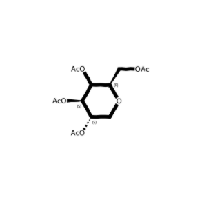 CC(=O)OC[C@H]1OC[C@H](OC(C)=O)[C@@H](OC(C)=O)[C]1OC(C)=O